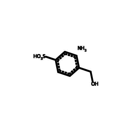 N.O=S(=O)(O)c1ccc(CO)cc1